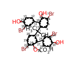 CC(C)(c1ccc(Br)c(O)c1-c1ccc(O)c(Br)c1)c1ccc(Br)c(OC(=O)O)c1-c1ccc(O)c(Br)c1